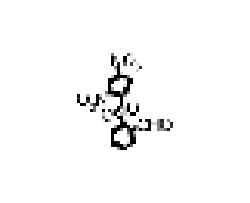 O=Cc1ccccc1S(=O)(=O)c1ccc([N+](=O)[O-])cc1[N+](=O)[O-]